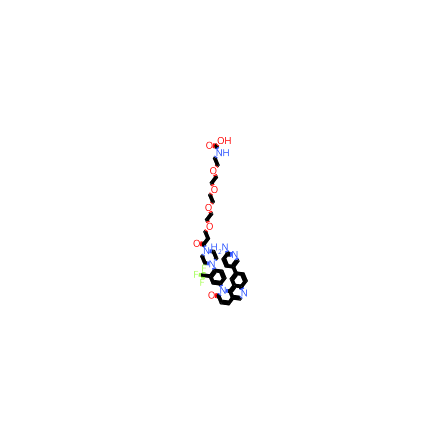 Nc1ccc(-c2ccc3ncc4ccc(=O)n(-c5ccc(N6CCN(C(=O)CCOCCOCCOCCOCCNC(=O)O)CC6)c(C(F)(F)F)c5)c4c3c2)cn1